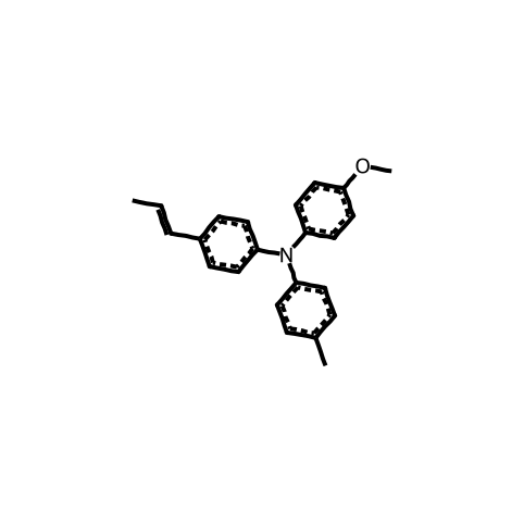 CC=Cc1ccc(N(c2ccc(C)cc2)c2ccc(OC)cc2)cc1